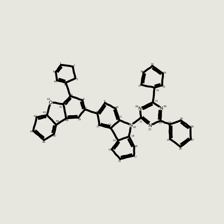 C1=CCCC(c2cc(-c3ccc4c(c3)c3ccccc3n4-c3nc(-c4ccccc4)nc(-c4ccccc4)n3)cc3c2oc2ccccc23)=C1